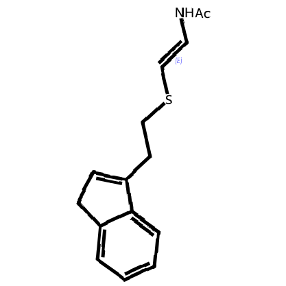 CC(=O)N/C=C/SCCC1=CCc2ccccc21